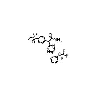 CCS(=O)(=O)c1ccc(C(C(N)=O)c2cnc(-c3ccccc3OC(F)(F)F)cn2)cc1